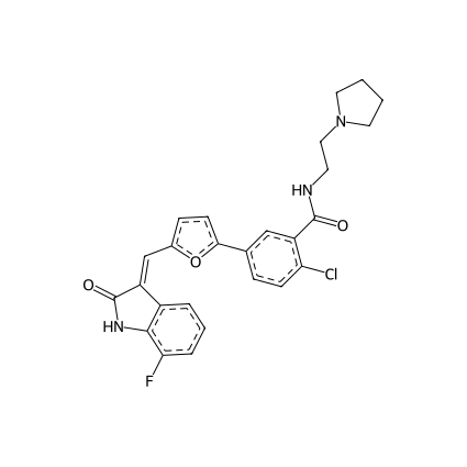 O=C1Nc2c(F)cccc2/C1=C\c1ccc(-c2ccc(Cl)c(C(=O)NCCN3CCCC3)c2)o1